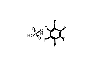 Fc1c(F)c(F)c(F)c(F)c1F.O=S(=O)(O)O